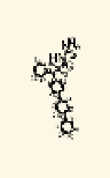 CC(C)(C(=O)Nc1nncs1)C(c1ccccc1)c1ccc(-c2ccc(-c3ccccc3)cc2)cc1